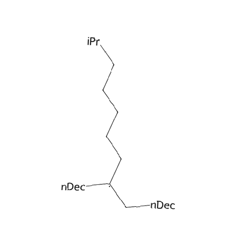 CCCCCCCCCCC[C](CCCCCCCCCC)CCCCCC(C)C